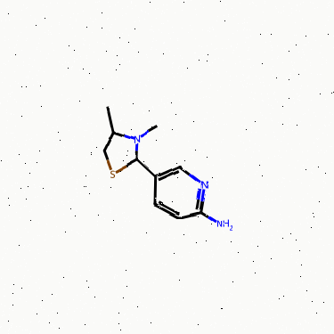 CC1CSC(c2ccc(N)nc2)N1C